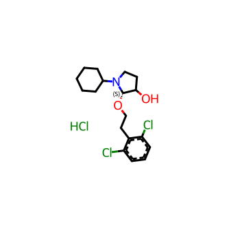 Cl.OC1CCN(C2CCCCC2)[C@H]1OCCc1c(Cl)cccc1Cl